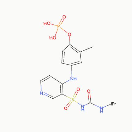 Cc1cc(Nc2ccncc2S(=O)(=O)NC(=O)NC(C)C)ccc1OP(=O)(O)O